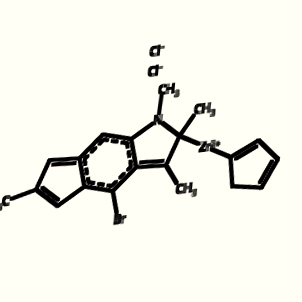 CC1=Cc2c(Br)c3c(cc2=C1)N(C)[C](C)([Zr+2][C]1=CC=CC1)C=3C.[Cl-].[Cl-]